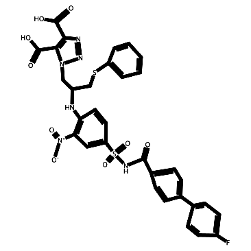 O=C(NS(=O)(=O)c1ccc(NC(CSc2ccccc2)Cn2nnc(C(=O)O)c2C(=O)O)c([N+](=O)[O-])c1)c1ccc(-c2ccc(F)cc2)cc1